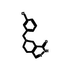 O=c1[nH]ncc2c1CN(Cc1cccc(Cl)c1)CC2